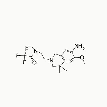 CCN(CCN1Cc2cc(N)c(OC)cc2C(C)(C)C1)C(=O)C(F)(F)F